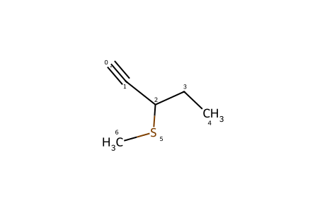 [C]#CC(CC)SC